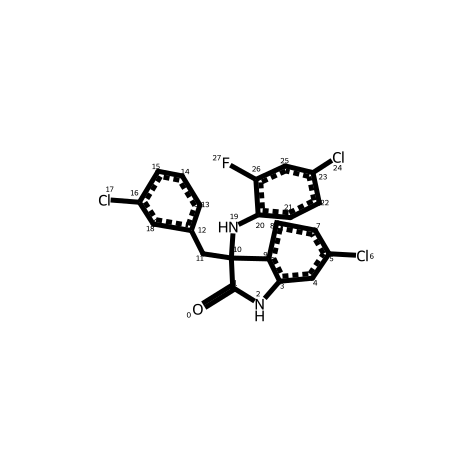 O=C1Nc2cc(Cl)ccc2C1(Cc1cccc(Cl)c1)Nc1ccc(Cl)cc1F